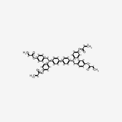 C=CC(=O)Oc1ccc(CN(c2ccc(OC(=O)C=C)cc2)c2ccc(-c3ccc(N(Cc4ccc(OC(=O)C=C)cc4)c4ccc(OC(=O)C=C)cc4)cc3)cc2)cc1